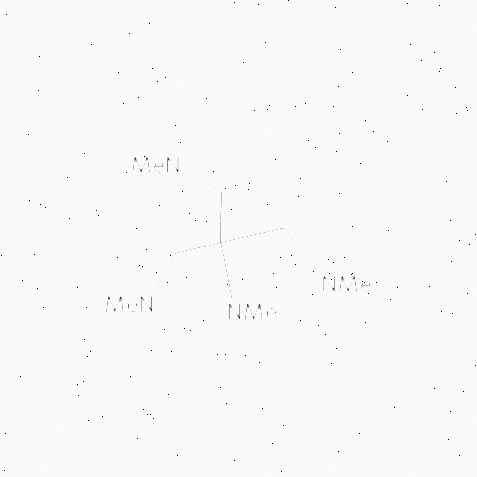 CNCC(CNC)(CNC)NC